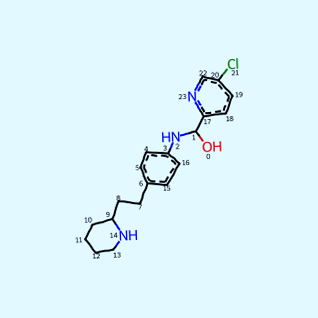 OC(Nc1ccc(CCC2CCCCN2)cc1)c1ccc(Cl)cn1